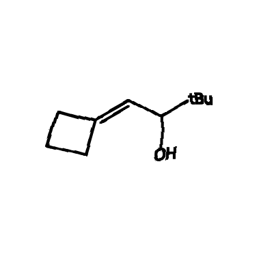 CC(C)(C)C(O)C=C1CCC1